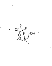 COC[N+](C)(C)CCO.O=C([O-])C(F)(F)F